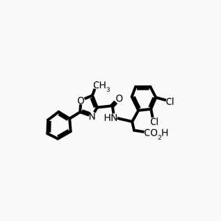 Cc1oc(-c2ccccc2)nc1C(=O)NC(CC(=O)O)c1cccc(Cl)c1Cl